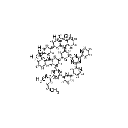 C=N/C(=C\C=C/C)c1nc(-c2cc(-c3cc(-c4nc(-c5ccccn5)nc(-c5ccccn5)n4)cc(N4c5ccccc5C(C)(C)c5ccccc54)c3)cc(N3c4ccccc4C(C)(C)c4ccccc43)c2)nc(-c2ccccn2)n1